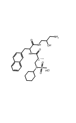 C[C@H](CN(C1CCCCC1)S(C)(=O)=O)C(=O)NC(Cc1ccc2ccccc2c1)C(=O)NCC(O)CN.Cl